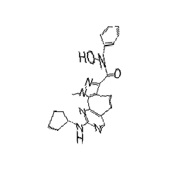 Cn1nc(C(=O)N(O)c2ccccc2)c2c1-c1nc(NC3CCCC3)ncc1CC2